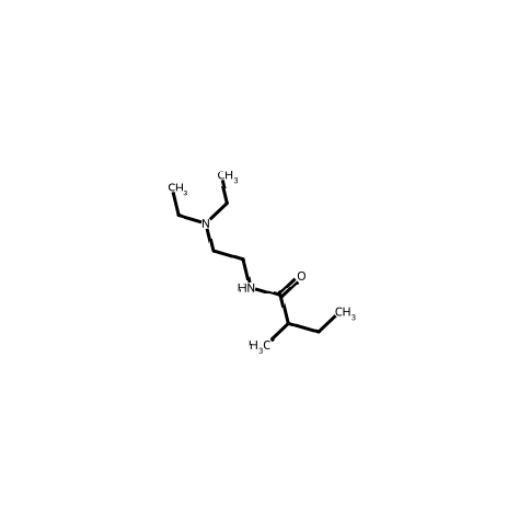 CCC(C)C(=O)NCCN(CC)CC